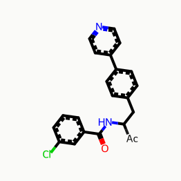 CC(=O)C(Cc1ccc(-c2ccncc2)cc1)NC(=O)c1cccc(Cl)c1